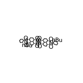 CCCCc1ccccc1N1C(=O)c2ccc3c4c(ccc(c24)C1=O)C(=O)N(N1C(=O)c2ccc4c5c(ccc(c25)C1=O)C(=O)N(c1ccccc1CCCC)C4=O)C3=O